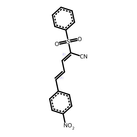 N#C/C(=C\C=C\c1ccc([N+](=O)[O-])cc1)S(=O)(=O)c1ccccc1